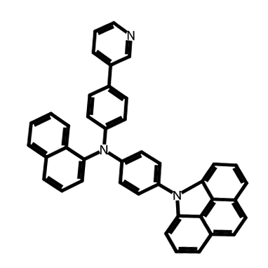 c1cncc(-c2ccc(N(c3ccc(-n4c5cccc6ccc7cccc4c7c65)cc3)c3cccc4ccccc34)cc2)c1